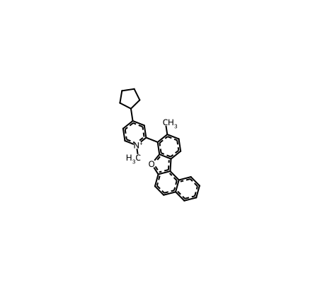 Cc1ccc2c(oc3ccc4ccccc4c32)c1-c1cc(C2CCCC2)cc[n+]1C